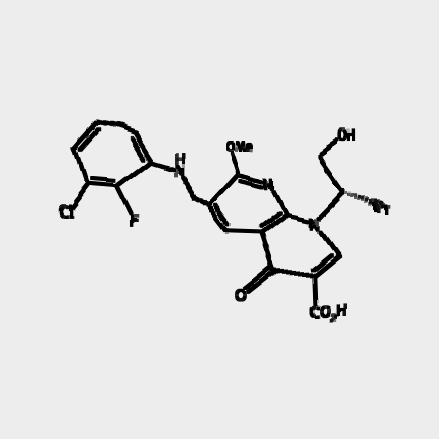 COc1nc2c(cc1CNc1cccc(Cl)c1F)c(=O)c(C(=O)O)cn2[C@H](CO)C(C)C